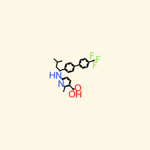 Cc1nc(NC(CC(C)C)c2ccc(-c3ccc(C(F)(F)F)cc3)cc2)ccc1C(=O)O